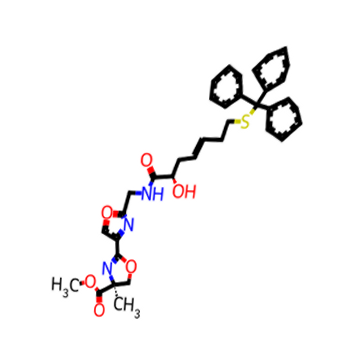 COC(=O)[C@]1(C)COC(c2coc(CNC(=O)[C@H](O)C/C=C/CCSC(c3ccccc3)(c3ccccc3)c3ccccc3)n2)=N1